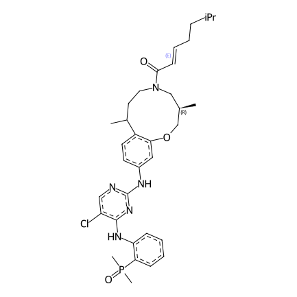 CC(C)CC/C=C/C(=O)N1CCC(C)c2ccc(Nc3ncc(Cl)c(Nc4ccccc4P(C)(C)=O)n3)cc2OC[C@H](C)C1